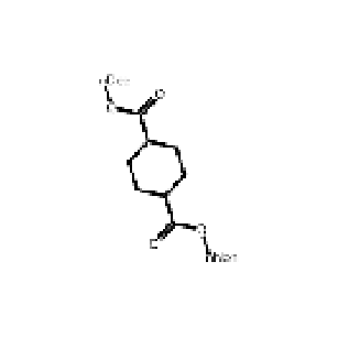 CCCCCCCCCCOC(=O)C1CCC(C(=O)OCCCCCCCCC)CC1